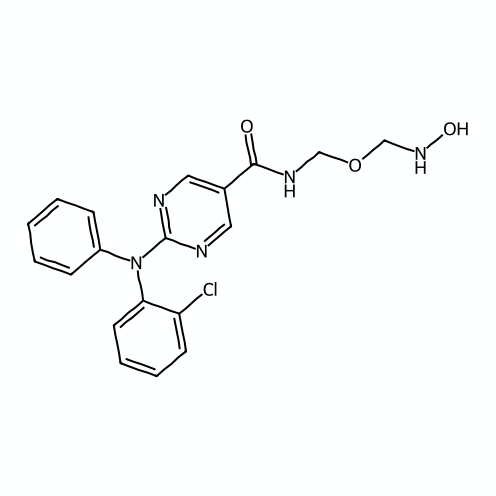 O=C(NCOCNO)c1cnc(N(c2ccccc2)c2ccccc2Cl)nc1